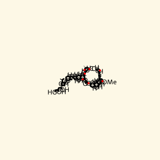 CO[C@@H]1C[C@]23CC[C@H]4C[C@@H](C)[C@H](CC[C@H]5C[C@@H](C)[C@H](C)[C@@H](C[C@@H]6O[C@H]7C[C@H]8O[C@@]9(CC%10O[C@]%11(C[C@H](C)C%12O[C@H](C(O)CC(O)CO)C[C@@H]%12O%11)C[C@H](C)[C@@H]%10O9)C[C@H]8O[C@H]7[C@H](C)[C@H]6OC(=O)C[C@H]6CC[C@@H]7O[C@H](C[C@@H](O2)[C@H]7O6)[C@@H]1O3)O5)O4